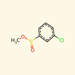 COS(=O)c1cccc(Cl)c1